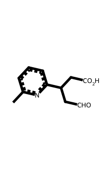 Cc1cccc(C(CC=O)CC(=O)O)n1